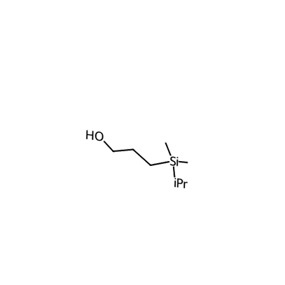 CC(C)[Si](C)(C)CCCO